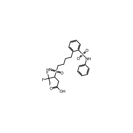 N=S(=O)(CCCCc1ccccc1S(=O)(=O)Nc1ccccc1)C(CC(=O)O)C(F)(F)F